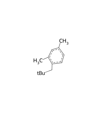 Cc1ccc(CC(C)(C)C)c(C)c1